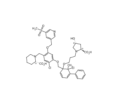 CC1(Cl)C(c2ccccc2)=CC=CC1(COc1cc(OCc2cncc(S(C)(=O)=O)c2)c(CN2CCCC[C@H]2C(=O)O)cc1Cl)OCCCN1C[C@H](O)C[C@H]1C(=O)O